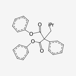 CC(C)CC(C(=O)Oc1ccccc1)(C(=O)Oc1ccccc1)c1ccccc1